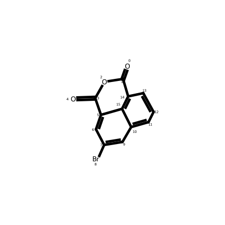 O=C1OC(=O)c2cc(Br)cc3cccc1c23